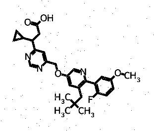 COc1ccc(F)c(-c2ncc(OCc3cc(C(CC(=O)O)C4CC4)ncn3)cc2CC(C)(C)C)c1